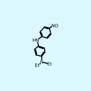 CCN(CC)c1ccc(Nc2ccc(N=O)cc2)cc1